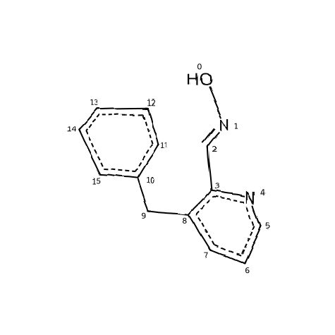 ON=Cc1ncccc1Cc1ccccc1